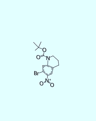 CC(C)(C)OC(=O)N1CCCc2cc([N+](=O)[O-])c(Br)cc21